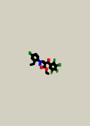 CCOC(=O)/C(=C\Nc1ccc(F)cc1CC)C(=O)c1cc(F)c(F)c(Cl)c1F